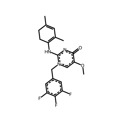 COc1cn(Cc2cc(F)c(F)c(F)c2)c(NC2=C(C)C=C(C)CC2)nc1=O